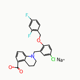 O=C([O-])c1cccc2c1CCCN2Cc1cc(Cl)ccc1OCc1ccc(F)cc1F.[Na+]